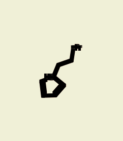 CCCCC[SiH]1C=CC=C1